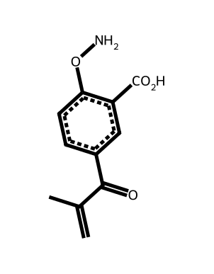 C=C(C)C(=O)c1ccc(ON)c(C(=O)O)c1